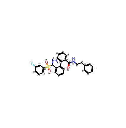 NC(c1ccccc1-c1ccccc1C(=O)NCCc1ccccc1)S(=O)(=O)c1cccc(F)c1